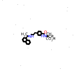 CC(NCCCc1ccc(C(=O)NC(C)(C)C(=O)O)cc1)c1cccc2ccccc12